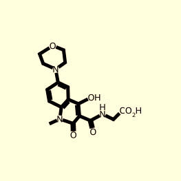 Cn1c(=O)c(C(=O)NCC(=O)O)c(O)c2cc(N3CCOCC3)ccc21